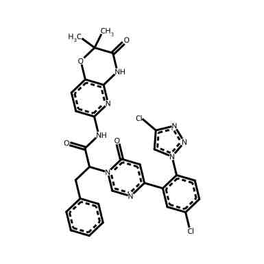 CC1(C)Oc2ccc(NC(=O)C(Cc3ccccc3)n3cnc(-c4cc(Cl)ccc4-n4cc(Cl)nn4)cc3=O)nc2NC1=O